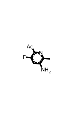 CC(=O)c1nc(C)c(N)cc1F